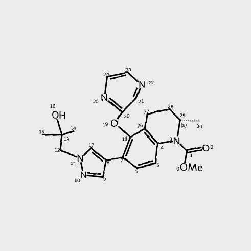 COC(=O)N1c2ccc(-c3cnn(CC(C)(C)O)c3)c(Oc3cnccn3)c2CC[C@@H]1C